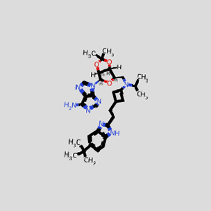 CC(C)N(C[C@H]1O[C@@H](n2cnc3c(N)ncnc32)[C@H]2OC(C)(C)O[C@@H]21)C1CC(CCc2nc3cc(C(C)(C)C)ccc3[nH]2)C1